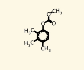 COC(=O)Oc1ccc(C)c(C)c1C